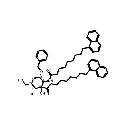 O=C(CCCCCCCCc1cccc2ccccc12)N[C@@H]1[C@@H](OCc2ccccc2)O[C@H](CO)[C@@H](O)[C@@]1(O)C(=O)CCCCCCCCc1cccc2ccccc12